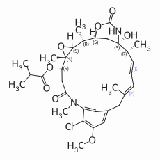 COc1cc2cc(c1Cl)N(C)C(=O)C[C@H](OC(=O)C(C)C)[C@]1(C)O[C@H]1[C@H](C)[C@@H]1C[C@@](O)(NC(=O)O1)[C@H](C)/C=C/C=C(\C)C2